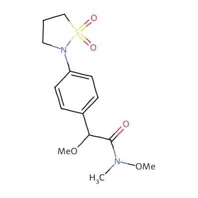 COC(C(=O)N(C)OC)c1ccc(N2CCCS2(=O)=O)cc1